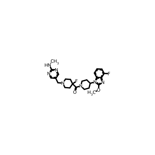 CNc1ncc(CN2CCC(F)(C(=O)N3CCC(n4c(OC)nc5c(F)cccc54)CC3)CC2)cn1